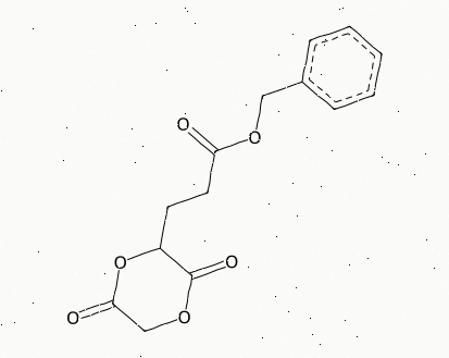 O=C(CCC1OC(=O)COC1=O)OCc1ccccc1